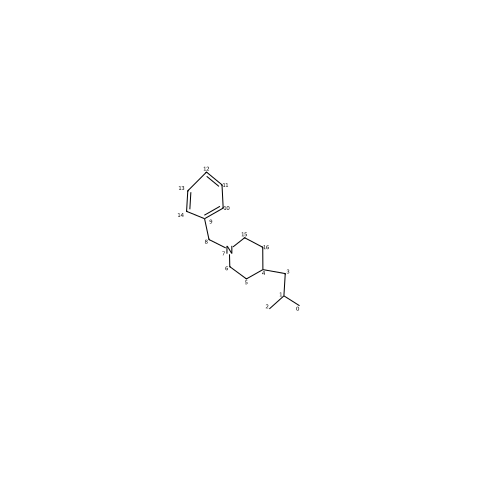 CC(C)CC1CCN(Cc2ccccc2)CC1